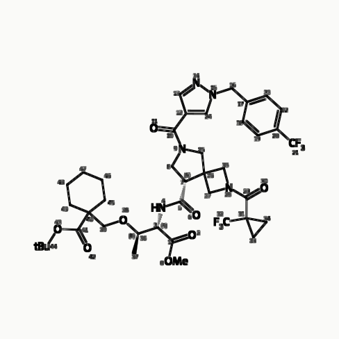 COC(=O)[C@@H](NC(=O)[C@@H]1CN(C(=O)c2cnn(Cc3ccc(C(F)(F)F)cc3)c2)CC12CN(C(=O)C1(C(F)(F)F)CC1)C2)[C@@H](C)OCC1(C(=O)OC(C)(C)C)CCCCC1